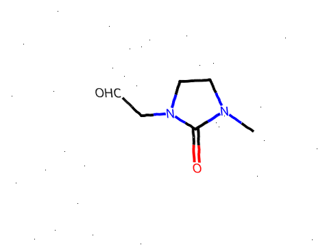 CN1CCN(CC=O)C1=O